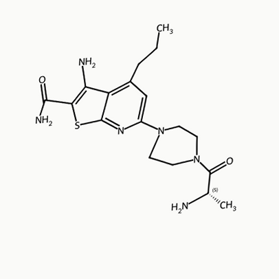 CCCc1cc(N2CCN(C(=O)[C@H](C)N)CC2)nc2sc(C(N)=O)c(N)c12